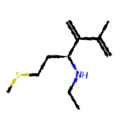 C=C(C)C(=C)[C@H](CCSC)NCC